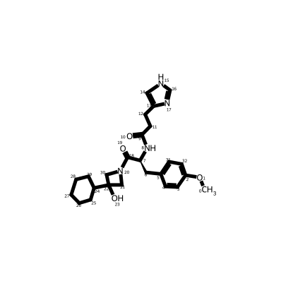 COc1ccc(C[C@H](NC(=O)CCc2c[nH]cn2)C(=O)N2CC(O)(C3CCCCC3)C2)cc1